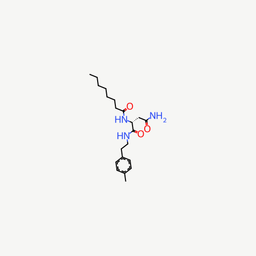 CCCCCCCC(=O)N[C@H](CC(N)=O)C(=O)NCCc1ccc(C)cc1